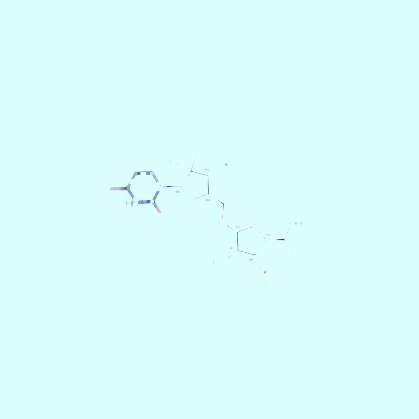 CC(O)[C@@H]1O[C@H](OC[C@H]2O[C@@H](n3ccc(=O)[nH]c3=O)[C@@](O)(F)[C@@H]2O)[C@H](O)[C@H]1O